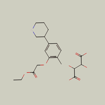 CCOC(=O)COc1cc(C2CCCNC2)ccc1C.O=C(O)C(O)C(O)C(=O)O